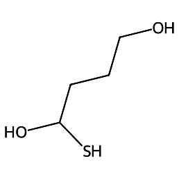 OCCCC(O)S